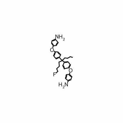 CCCCC(CCCCF)(c1ccc(Oc2ccc(N)cc2)cc1)c1ccc(Oc2ccc(N)cc2)cc1